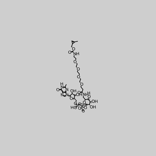 CC1=CC1COC(=O)NCCOCCOCCOCCOCCC(=O)NCC1O[C@H](OP(=O)(O)OP(=O)(O)OC[C@H]2O[C@@H](n3cnc4c(=O)[nH]c(C)nc43)C(O)[C@H]2O)C(O)[C@@H](O)[C@@H]1O